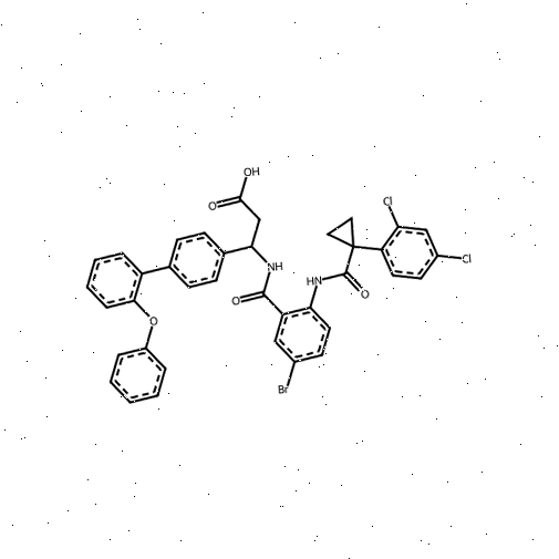 O=C(O)CC(NC(=O)c1cc(Br)ccc1NC(=O)C1(c2ccc(Cl)cc2Cl)CC1)c1ccc(-c2ccccc2Oc2ccccc2)cc1